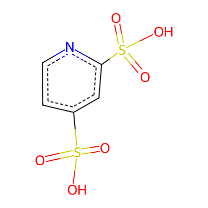 O=S(=O)(O)c1ccnc(S(=O)(=O)O)c1